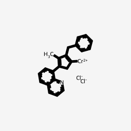 CC1=C(c2cccc3cccnc23)C[C]([Cr+2])=C1Cc1ccccc1.[Cl-].[Cl-]